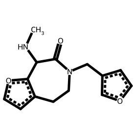 CNC1C(=O)N(Cc2ccoc2)CCc2ccoc21